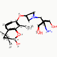 NC(CO)(CO)CN1CC(Oc2ccc3c(c2C(=O)O)OB(O)[C@@H]2C[C@H]32)C1